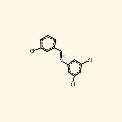 Clc1cccc(/C=N/c2cc(Cl)cc(Cl)c2)c1